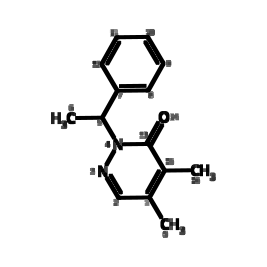 Cc1cnn(C(C)c2ccccc2)c(=O)c1C